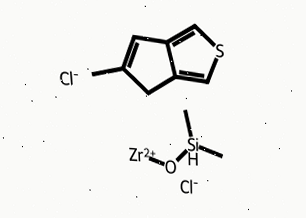 CC1=Cc2cscc2C1.C[SiH](C)[O][Zr+2].[Cl-].[Cl-]